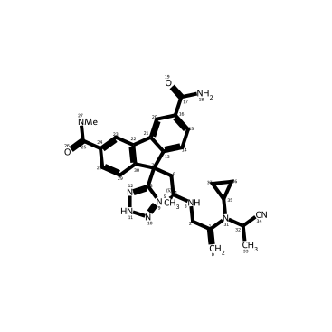 C=C(CN[C@@H](C)CC1(c2nn[nH]n2)c2ccc(C(N)=O)cc2-c2cc(C(=O)NC)ccc21)N(C(C)C#N)C1CC1